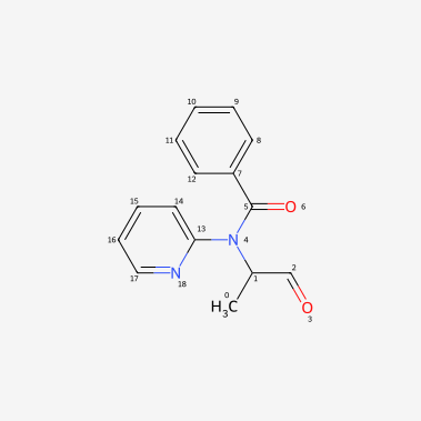 CC(C=O)N(C(=O)c1ccccc1)c1ccccn1